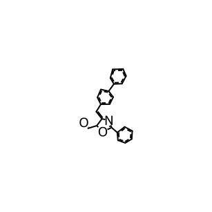 O=CC1OC(c2ccccc2)=NC1=Cc1ccc(-c2ccccc2)cc1